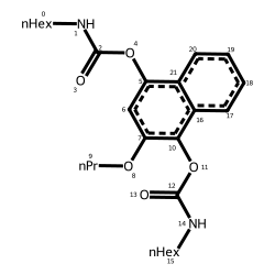 CCCCCCNC(=O)Oc1cc(OCCC)c(OC(=O)NCCCCCC)c2ccccc12